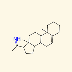 CC(=N)C1CCC2C3CC=C4CCCCC4(C)C3CCC12C